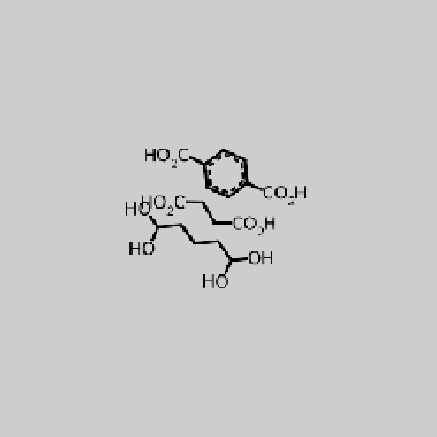 O=C(O)CCC(=O)O.O=C(O)c1ccc(C(=O)O)cc1.OC(O)CCCC(O)O